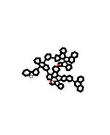 c1cc(-c2ccc3c4c(c5ccccc5c3c2)-c2c(ccc3ccccc23)C42c3ccccc3-c3ccccc32)cc(-c2c3ccccc3c(-c3ccc4oc5ccccc5c4c3)c3cc(-c4cccc5c6c(c7ccccc7c45)-c4cc5ccc(-c7cc8ccccc8c8ccccc78)cc5cc4C64c5ccccc5-c5ccccc54)ccc23)c1